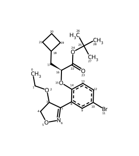 CCOC1CON=C1c1cc(Br)ccc1O[C@@H](CC1CCC1)C(=O)OC(C)(C)C